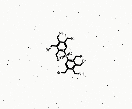 NCc1c(CBr)cc(S(=O)(=O)c2cc(CBr)c(CN)c(CBr)c2CBr)c(CBr)c1CBr